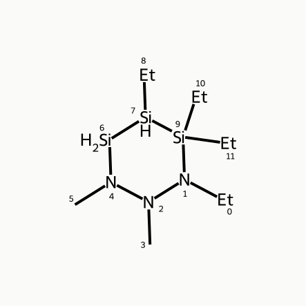 CCN1N(C)N(C)[SiH2][SiH](CC)[Si]1(CC)CC